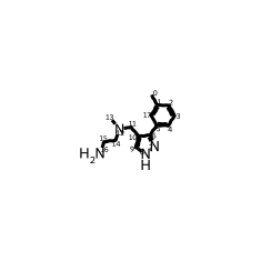 Cc1cccc(-c2n[nH]cc2CN(C)CCN)c1